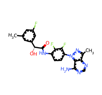 Cc1cc(F)cc([C@@H](O)C(=O)Nc2ccc(-n3nc(C)c4ncnc(N)c43)c(F)c2F)c1